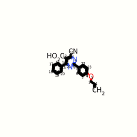 C=CCOc1ccc(-c2nc(C#N)c(C(=O)O)c(-c3ccccc3)n2)cc1